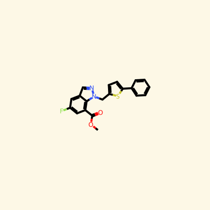 COC(=O)c1cc(F)cc2cnn(Cc3ccc(-c4ccccc4)s3)c12